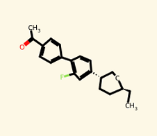 CC[C@H]1CC[C@H](c2ccc(-c3ccc(C(C)=O)cc3)c(F)c2)CC1